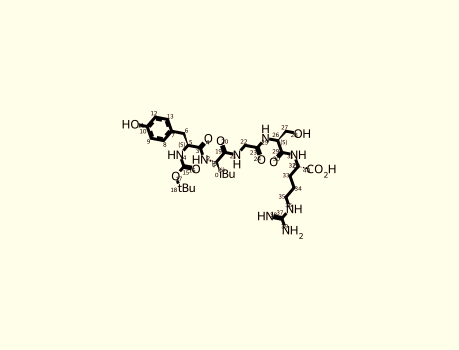 CC[C@H](C)[C@H](NC(=O)[C@H](Cc1ccc(O)cc1)NC(=O)OC(C)(C)C)C(=O)NCC(=O)N[C@@H](CO)C(=O)N[C@@H](CCCNC(=N)N)C(=O)O